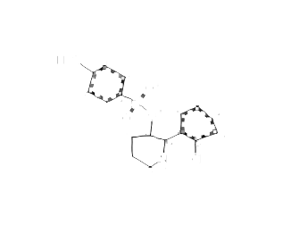 Cc1ccc(S(=O)(=O)OC2CCCNC2c2ccccc2Cl)cc1